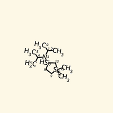 CC(C)N(C(C)C)[SiH]1CC[Si](C)(C)C1